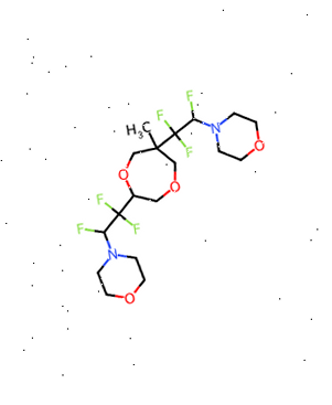 CC1(C(F)(F)C(F)N2CCOCC2)COCC(C(F)(F)C(F)N2CCOCC2)OC1